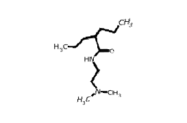 CCCC(CCC)C(=O)NCCN(C)C